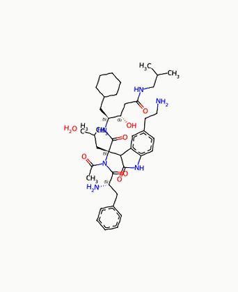 CC(=O)N(C(=O)[C@@H](N)Cc1ccccc1)[C@](CC(C)C)(C(=O)N[C@@H](CC1CCCCC1)[C@@H](O)CC(=O)NCC(C)C)C1C(=O)Nc2ccc(CCN)cc21.O